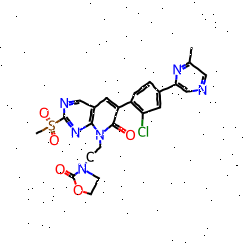 Cc1cncc(-c2ccc(-c3cc4cnc(S(C)(=O)=O)nc4n(CCN4CCOC4=O)c3=O)c(Cl)c2)n1